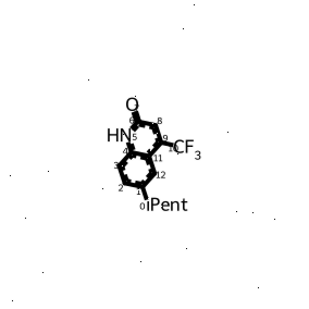 CCCC(C)c1ccc2[nH]c(=O)cc(C(F)(F)F)c2c1